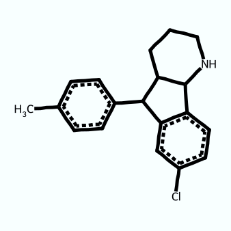 Cc1ccc(C2c3cc(Cl)ccc3C3NCCCC32)cc1